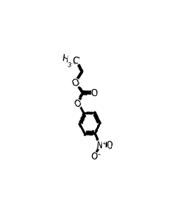 CCOC(=O)Oc1ccc([N+](=O)[O-])cc1